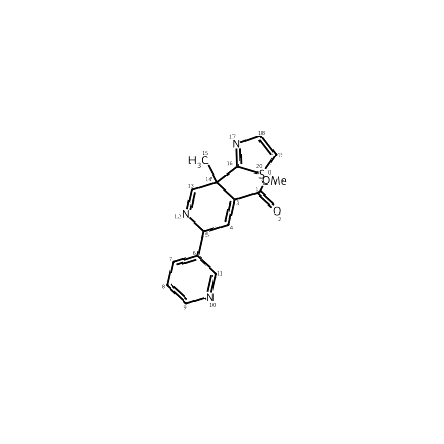 COC(=O)C1=CC(c2cccnc2)N=CC1(C)c1nccs1